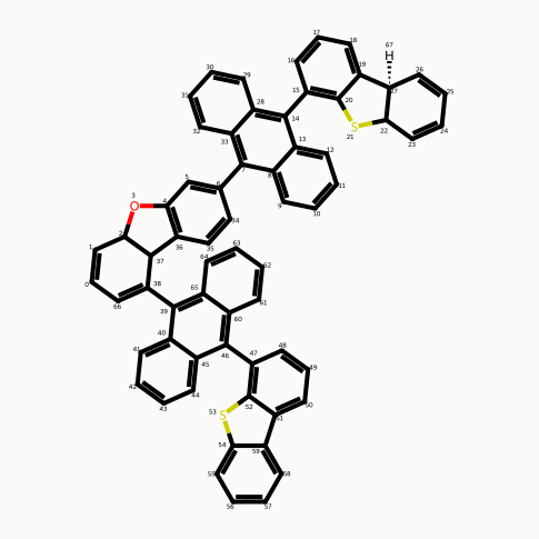 C1=CC2Oc3cc(-c4c5ccccc5c(-c5cccc6c5SC5C=CC=C[C@H]65)c5ccccc45)ccc3C2C(c2c3ccccc3c(-c3cccc4c3sc3ccccc34)c3ccccc23)=C1